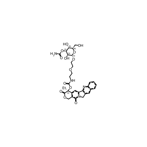 CC[C@@]1(OC(=O)NCCOCCO[C@H]2O[C@H](CO)[C@@H](O)[C@H](OC(N)=O)[C@@H]2O)C(=O)OCc2c1cc1n(c2=O)Cc2cc3ccccc3nc2-1